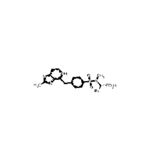 CC[C@H](C)[C@@H](C(=O)O)N(C)S(=O)(=O)c1ccc(Cc2[nH]ccc3nc(C)nc2-3)cc1